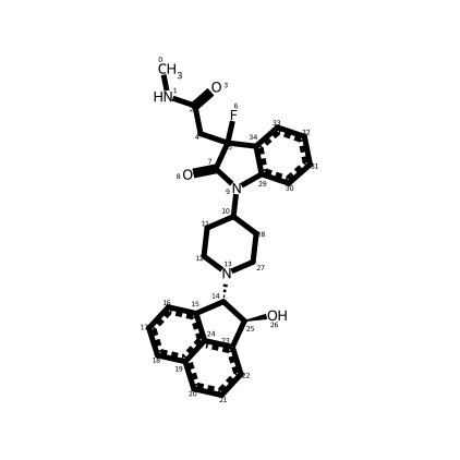 CNC(=O)CC1(F)C(=O)N(C2CCN([C@H]3c4cccc5cccc(c45)[C@@H]3O)CC2)c2ccccc21